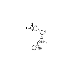 N[C@H](COc1cncc(-c2cnc3[nH]c(=O)oc3c2)c1)Cc1c[nH]c2ccccc12